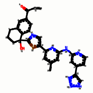 COC(=O)c1ccc2c(c1)CCCC2(O)c1ncc(-c2cc(C)cc(Nc3cc(-c4c[nH]nn4)ccn3)n2)s1